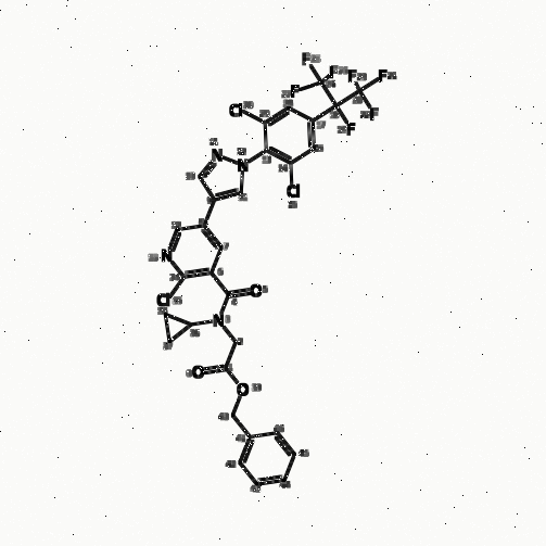 O=C(CN(C(=O)c1cc(-c2cnn(-c3c(Cl)cc(C(F)(C(F)(F)F)C(F)(F)F)cc3Cl)c2)cnc1Cl)C1CC1)OCc1ccccc1